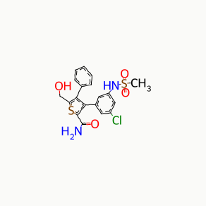 CS(=O)(=O)Nc1cc(Cl)cc(-c2c(C(N)=O)sc(CO)c2-c2ccccc2)c1